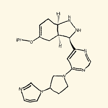 CC(C)OC1=CC[C@H]2NN[C@@H](c3cc(N4CCC(n5ccnc5)C4)ncn3)[C@H]2C1